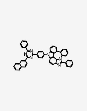 C1=CC2N=C(c3ccccc3)N3c4ccccc4-c4cccc5c4c(c1n5-c1ccc(-c4nc(-c5ccccc5)nc(-c5ccc6ccccc6c5)n4)cc1)C23